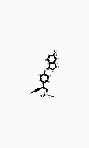 CC#CC(CS(=O)O)c1ccc(OC2CCc3cc(Cl)ccc32)cc1